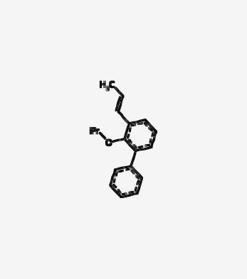 CC=Cc1cccc(-c2ccccc2)c1OC(C)C